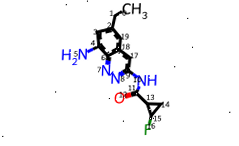 CCc1cc(N)c2nnc(NC(=O)C3CC3F)cc2c1